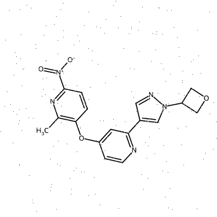 Cc1nc([N+](=O)[O-])ccc1Oc1ccnc(-c2cnn(C3COC3)c2)c1